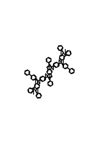 c1ccc(-c2ccc(N(c3ccc(-n4c(-c5ccccc5)cc5cc6c(cc(-c7ccccc7)n6-c6ccc(N(c7ccc(-c8ccccc8)cc7)c7ccc8c(c7)c7ccccc7n8-c7ccccc7)cc6)cc54)cc3)c3ccc4c(c3)c3ccccc3n4-c3ccccc3)cc2)cc1